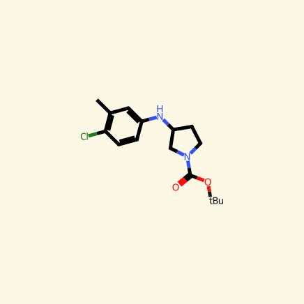 Cc1cc(NC2CCN(C(=O)OC(C)(C)C)C2)ccc1Cl